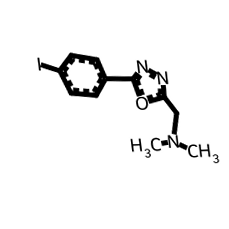 CN(C)Cc1nnc(-c2ccc(I)cc2)o1